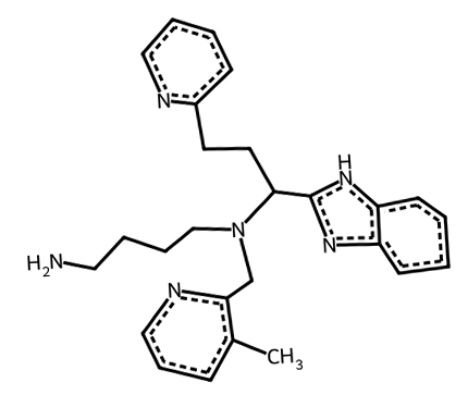 Cc1cccnc1CN(CCCCN)C(CCc1ccccn1)c1nc2ccccc2[nH]1